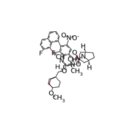 C#Cc1c(F)ccc2cccc(-c3c([N+](=O)[O-])cc4c(N5C[C@H]6CC[C@@H](C5)N6C(=O)OC(C)(C)C)nc(OCC56CCC(OC)(CC5)CC6)nc4c3F)c12